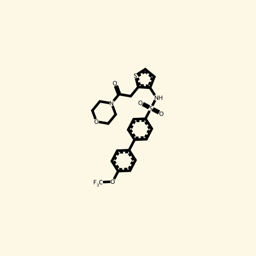 O=C(Cc1sccc1NS(=O)(=O)c1ccc(-c2ccc(OC(F)(F)F)cc2)cc1)N1CCOCC1